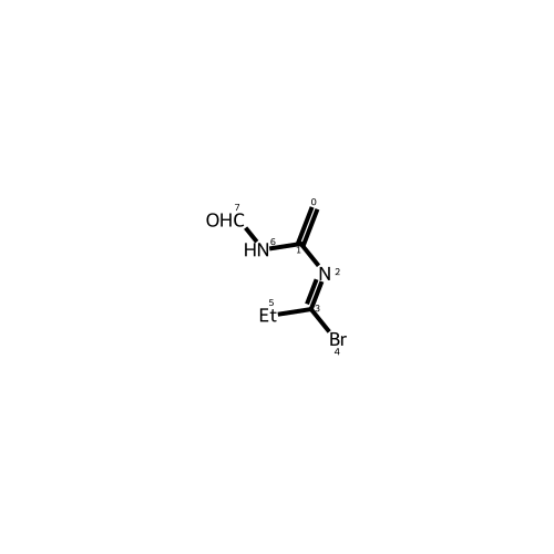 C=C(/N=C(/Br)CC)NC=O